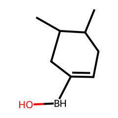 CC1CC=C(BO)CC1C